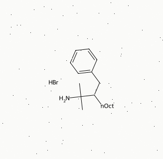 Br.CCCCCCCCC(Cc1ccccc1)C(C)(C)N